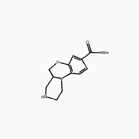 CNC(=O)c1ccc2c(c1)OCC1CNCCN21